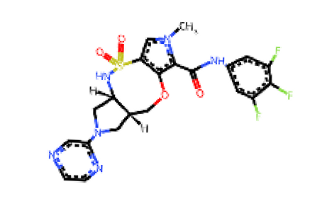 Cn1cc2c(c1C(=O)Nc1cc(F)c(F)c(F)c1)OC[C@@H]1CN(c3cnccn3)C[C@@H]1NS2(=O)=O